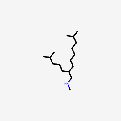 CNCC(CCCCCC(C)C)CCCC(C)C